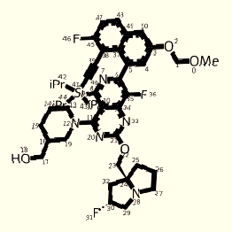 COCOc1cc(-c2nc(C)c3c(N4CCCC(CO)C4)nc(OC[C@@]45CCCN4C[C@H](F)C5)nc3c2F)c2c(C#C[Si](C(C)C)(C(C)C)C(C)C)c(F)ccc2c1